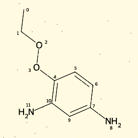 CCOOc1ccc(N)cc1N